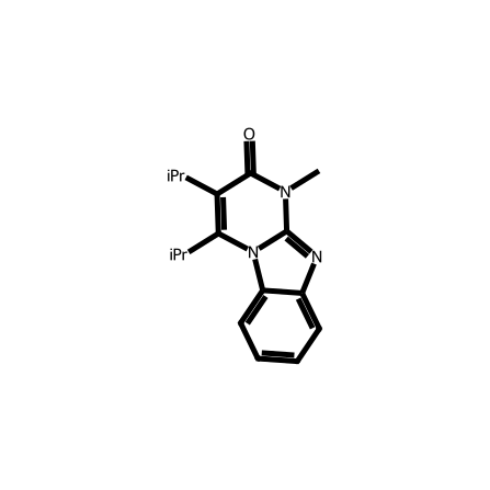 CC(C)c1c(C(C)C)n2c3ccccc3nc2n(C)c1=O